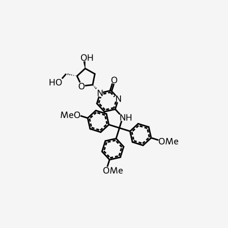 COc1ccc(C(Nc2ccn([C@H]3C[C@H](O)[C@@H](CO)O3)c(=O)n2)(c2ccc(OC)cc2)c2ccc(OC)cc2)cc1